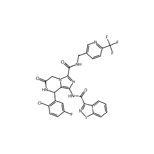 O=C1Cn2c(C(=O)NCc3ccc(C(F)(F)F)nc3)nc(NC(=O)c3nsc4ccccc34)c2C(c2cc(F)ccc2Cl)N1